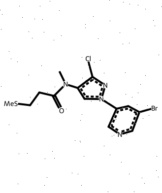 CSCCC(=O)N(C)c1cn(-c2cncc(Br)c2)nc1Cl